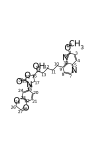 COc1ccc2nccc(CCCCC(O)C3CN(c4ccc5c(c4)OCCO5)C(=O)O3)c2n1